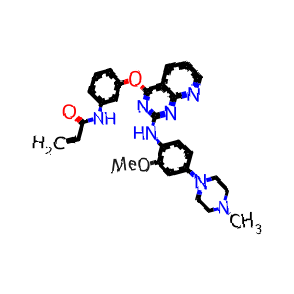 C=CC(=O)Nc1cccc(Oc2nc(Nc3ccc(N4CCN(C)CC4)cc3OC)nc3ncccc23)c1